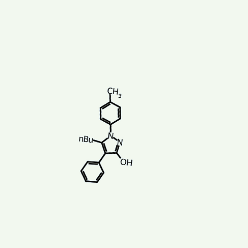 CCCCc1c(-c2ccccc2)c(O)nn1-c1ccc(C)cc1